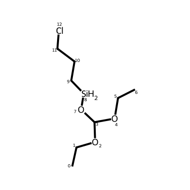 CCOC(OCC)O[SiH2]CCCCl